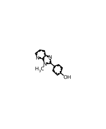 Cn1c(-c2ccc(O)cc2)nc2cccnc21